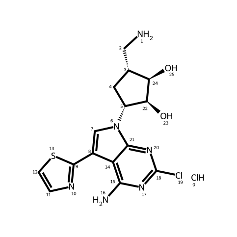 Cl.NC[C@H]1C[C@@H](n2cc(-c3nccs3)c3c(N)nc(Cl)nc32)[C@H](O)[C@@H]1O